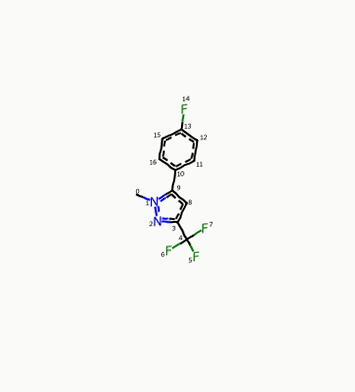 Cn1nc(C(F)(F)F)cc1-c1ccc(F)cc1